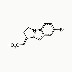 O=C(O)C=C1CCn2c1cc1cc(Br)ccc12